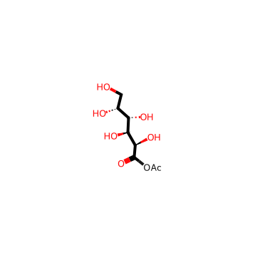 CC(=O)OC(=O)[C@H](O)[C@@H](O)[C@@H](O)[C@H](O)CO